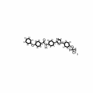 O=C(Nc1ccc(-c2ncn(-c3ccc(OC(F)(F)C(F)(F)F)cc3)n2)cc1)c1ccc(Oc2ccccc2)cc1